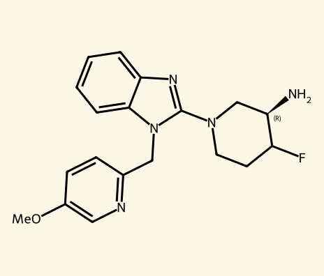 COc1ccc(Cn2c(N3CCC(F)[C@H](N)C3)nc3ccccc32)nc1